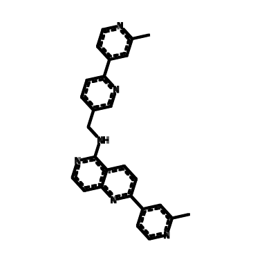 Cc1cc(-c2ccc(CNc3nccc4nc(-c5ccnc(C)c5)ccc34)cn2)ccn1